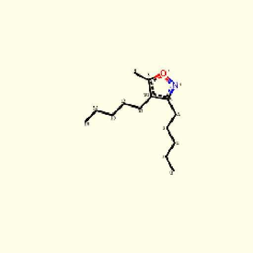 CCCCCc1noc(C)c1CCCCC